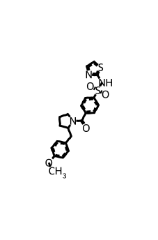 COc1ccc(CC2CCCN2C(=O)c2ccc(S(=O)(=O)Nc3nccs3)cc2)cc1